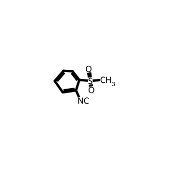 [C-]#[N+]c1ccccc1S(C)(=O)=O